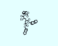 CCC(CC(CC(C)(C)C(=O)OC1CC2CC1C1CCCC21)C(=O)OC1CC2CC1C1C3CCC(C3)C21)C(=O)OC1C2CC3C(=O)OC1C3C2